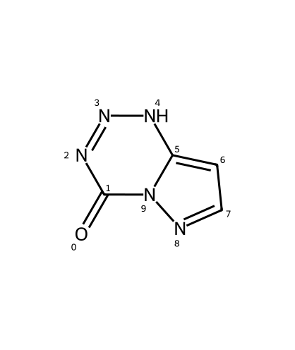 O=c1nn[nH]c2ccnn12